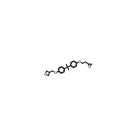 CC(C)(c1ccc(OCCC2CO2)cc1)c1ccc(OCC2COC2)cc1